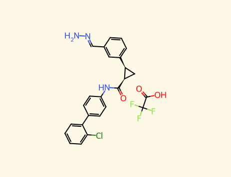 NN=Cc1cccc([C@H]2C[C@H]2C(=O)Nc2ccc(-c3ccccc3Cl)cc2)c1.O=C(O)C(F)(F)F